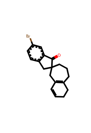 O=C1c2cc(Br)ccc2CC12CCCC1=C(C=CCC1)C2